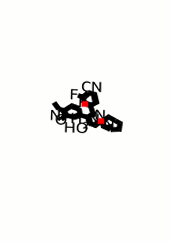 Cc1noc2cc(-c3c(O)cc(N4C5CCC4CC(N)C5)nc3-c3ccc(C#N)c(F)c3)c(F)cc12